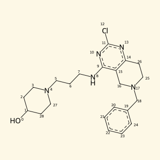 OC1CCN(CCCNc2nc(Cl)nc3c2CN(Cc2ccccc2)CC3)CC1